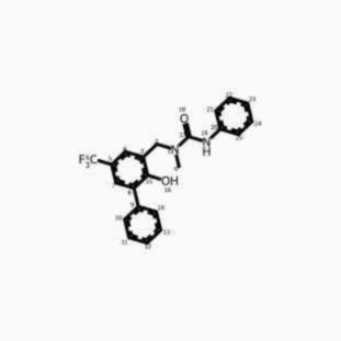 CN(Cc1cc(C(F)(F)F)cc(-c2ccccc2)c1O)C(=O)Nc1ccccc1